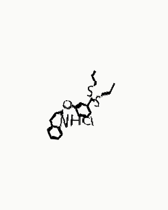 CCCSC(SCCC)c1cccc(Oc2ccc3ccccc3n2)c1.Cl